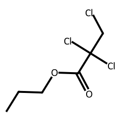 CCCOC(=O)C(Cl)(Cl)CCl